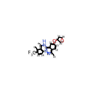 Cc1c([C@@H](C)Nc2nnc(C)c3ccc(OC4CCOC4)cc23)cccc1C(F)(F)F